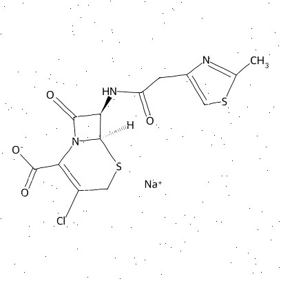 Cc1nc(CC(=O)N[C@@H]2C(=O)N3C(C(=O)[O-])=C(Cl)CS[C@H]23)cs1.[Na+]